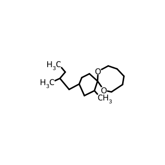 CCC(C)CC1CCC2(OCCCCCO2)C(C)C1